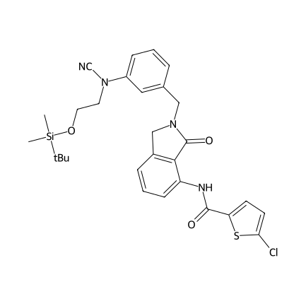 CC(C)(C)[Si](C)(C)OCCN(C#N)c1cccc(CN2Cc3cccc(NC(=O)c4ccc(Cl)s4)c3C2=O)c1